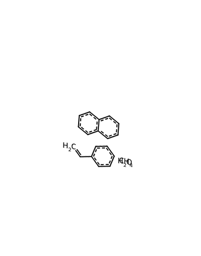 C.C=Cc1ccccc1.O.c1ccc2ccccc2c1